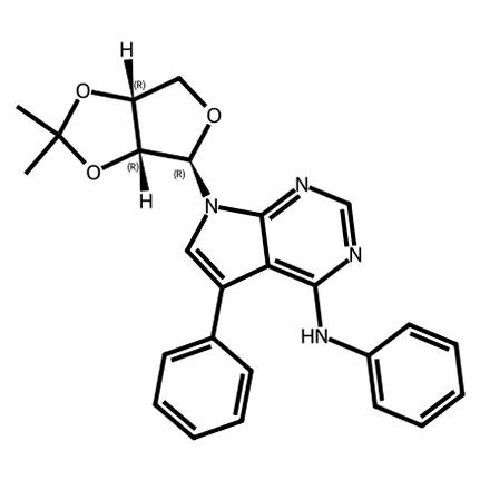 CC1(C)O[C@H]2[C@H](n3cc(-c4ccccc4)c4c(Nc5ccccc5)ncnc43)OC[C@H]2O1